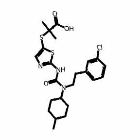 CC1CCC(N(CCc2cccc(Cl)c2)C(=O)Nc2ncc(SC(C)(C)C(=O)O)s2)CC1